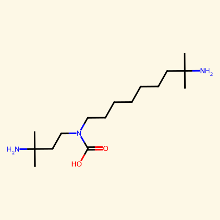 CC(C)(N)CCCCCCCN(CCC(C)(C)N)C(=O)O